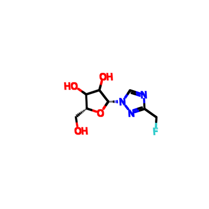 OC[C@H]1O[C@@H](n2cnc(CF)n2)C(O)C1O